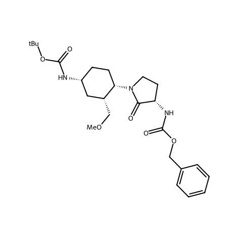 COC[C@@H]1C[C@H](NC(=O)OC(C)(C)C)CC[C@@H]1N1CC[C@H](NC(=O)OCc2ccccc2)C1=O